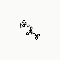 c1ccc(-c2nc(-c3ccc(-n4c5ccccc5c5ccccc54)cc3)nc(-c3cccc(-c4ccc(-c5nc6ccccc6c6c5ccc5nsnc56)cc4)c3)n2)cc1